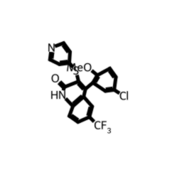 COc1ccc(Cl)cc1-c1c(Sc2ccncc2)c(=O)[nH]c2ccc(C(F)(F)F)cc12